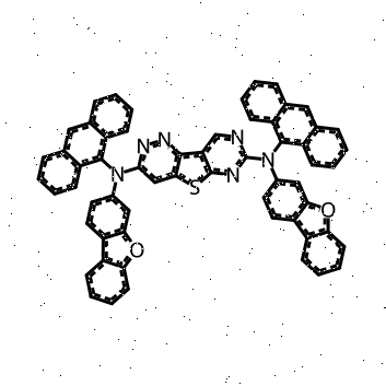 c1ccc2c(N(c3ccc4c(c3)oc3ccccc34)c3cc4sc5nc(N(c6ccc7c(c6)oc6ccccc67)c6c7ccccc7cc7ccccc67)ncc5c4nn3)c3ccccc3cc2c1